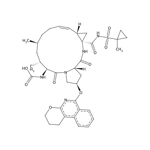 C[C@H]1CCC=C[C@@H]2C[C@@]2(C(=O)NS(=O)(=O)C2(C)CC2)NC(=O)[C@@H]2C[C@@H](Oc3nc4c(c5ccccc35)CCCO4)CN2C(=O)[C@@H](NC(=O)O)[C@H](C)C1